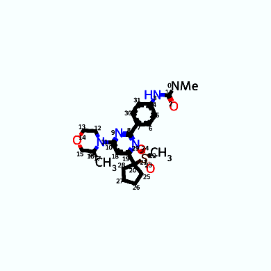 CNC(=O)Nc1ccc(-c2nc(N3CCOC[C@@H]3C)cc(C3(S(C)(=O)=O)CCCC3)n2)cc1